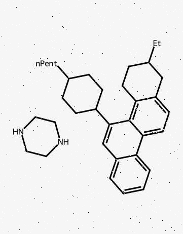 C1CNCCN1.CCCCCC1CCC(c2cc3ccccc3c3ccc4c(c23)CCC(CC)C4)CC1